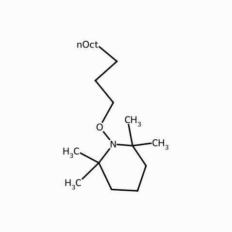 CCCCCCCCCCCON1C(C)(C)CCCC1(C)C